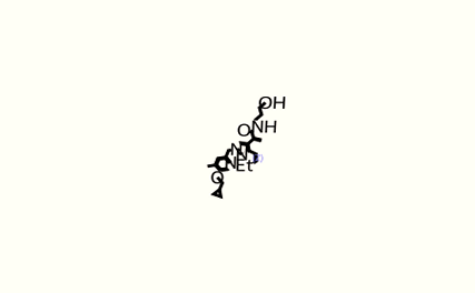 C=C(C(=O)NCCCO)c1cn(Cc2cc(C)c(OCC3CC3)cn2)nc1/C=C\CC